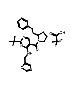 CC(C)(C)c1ncc(C(=O)N2CCCC2CCc2ccccc2)c(NCc2ccco2)n1.O=C(O)C(F)(F)F